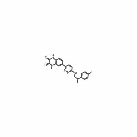 CC(CNc1ccc(-c2ccc3[nH]c(=O)c(=O)[nH]c3c2)nn1)c1ccc(F)cc1